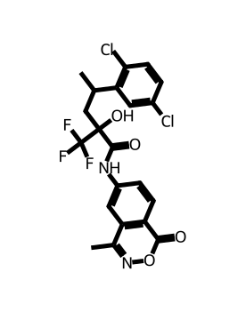 Cc1noc(=O)c2ccc(NC(=O)C(O)(CC(C)c3cc(Cl)ccc3Cl)C(F)(F)F)cc12